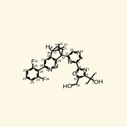 CC(C)(O)c1nc(-c2cncc([C@@]34CC[C@@H](c5cc(-c6c(F)cccc6F)nnc53)C4(C)C)n2)oc1CO